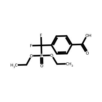 CCOP(=O)(OCC)C(F)(F)c1ccc(C(=O)O)cc1